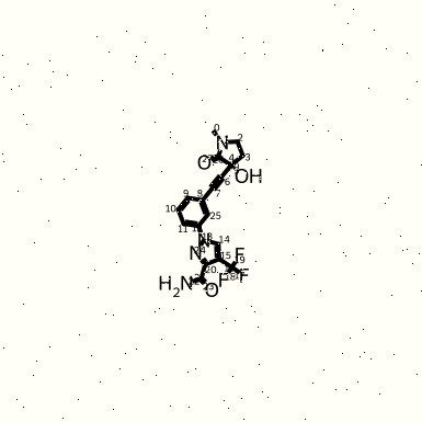 CN1CC[C@@](O)(C#Cc2cccc(-n3cc(C(F)(F)F)c(C(N)=O)n3)c2)C1=O